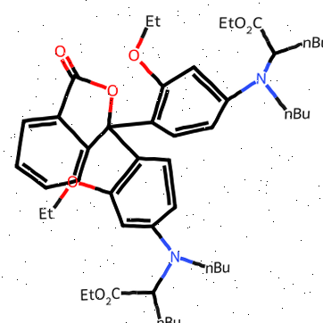 CCCCC(C(=O)OCC)N(CCCC)c1ccc(C2(c3ccc(N(CCCC)C(CCCC)C(=O)OCC)cc3OCC)OC(=O)c3ccccc32)c(OCC)c1